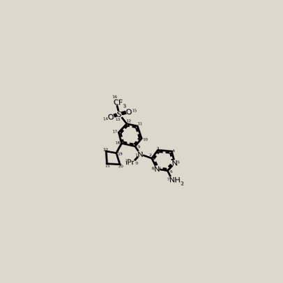 CC(C)N(c1ccnc(N)n1)c1ccc(S(=O)(=O)C(F)(F)F)cc1C1CCC1